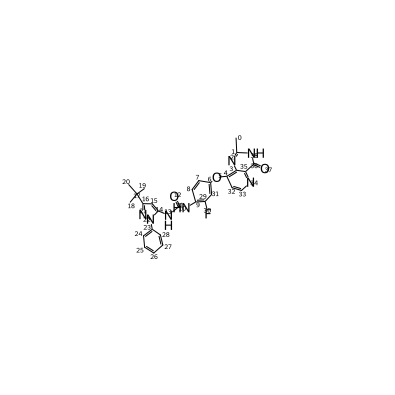 Cc1nc2c(Oc3ccc(NC(=O)Nc4cc(C(C)(C)C)nn4-c4ccccc4)c(F)c3)ccnc2c(=O)[nH]1